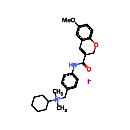 COc1ccc2c(c1)C=C(C(=O)Nc1ccc(C[N+](C)(C)C3CCCCC3)cc1)CO2.[I-]